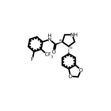 O=C(Nc1cccc(F)c1C(F)(F)F)[C@H]1CNC[C@@H]1c1ccc2c(c1)OCO2